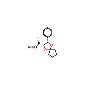 COC(=O)[C@H]1OC2(CCCC2)O[C@H]1c1ccccc1